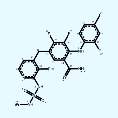 CC(C)NS(=O)(=O)Nc1nccc(Cc2cc(C(N)=O)c(Nc3ccc(I)cc3F)c(F)c2F)c1F